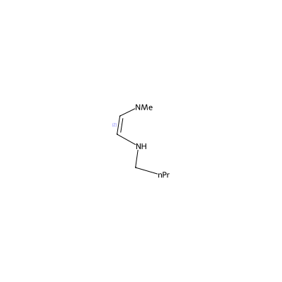 CCCCN/C=C\NC